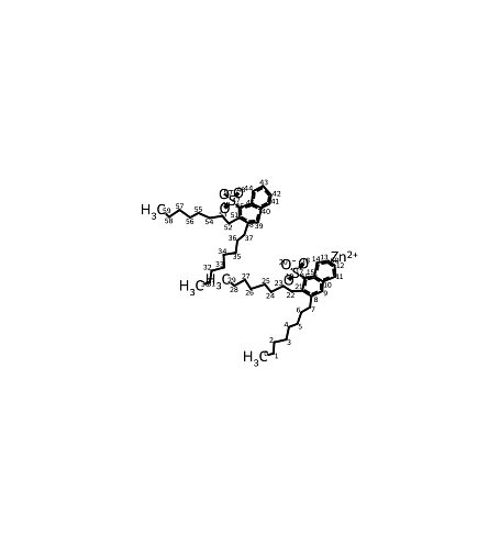 CCCCCCCCc1cc2ccccc2c(S(=O)(=O)[O-])c1CCCCCCCC.CCCCCCCCc1cc2ccccc2c(S(=O)(=O)[O-])c1CCCCCCCC.[Zn+2]